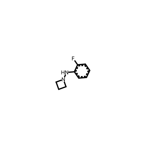 Fc1ccccc1NN1CCC1